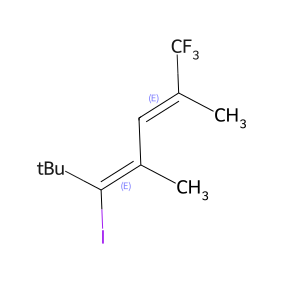 C/C(=C\C(C)=C(\I)C(C)(C)C)C(F)(F)F